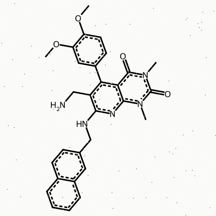 COc1ccc(-c2c(CN)c(NCc3ccc4ccccc4c3)nc3c2c(=O)n(C)c(=O)n3C)cc1OC